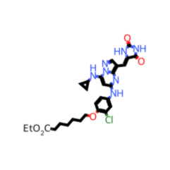 CCOC(=O)CCCCCCOc1ccc(Nc2cc(NC3CC3)n3ncc(/C=C4\NC(=O)NC4=O)c3n2)cc1Cl